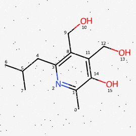 Cc1nc(CC(C)C)c(CO)c(CO)c1O